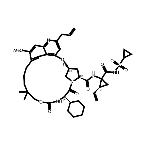 C=CCc1cc2c3cc(c(OC)cc3n1)CCCC(C)(C)COC(=O)N[C@@H](C1CCCCC1)C(=O)N1C[C@@H](C[C@H]1C(=O)NC1(C(=O)NS(=O)(=O)C3CC3)C[C@H]1C=C)O2